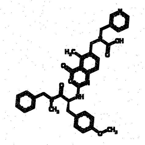 COc1ccc(C[C@H](Nc2nc3ccc(CN(Cc4cccnc4)C(=O)O)c(C)c3c(=O)o2)C(=O)N(C)Cc2ccccc2)cc1